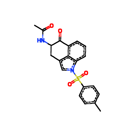 CC(=O)NC1Cc2cn(S(=O)(=O)c3ccc(C)cc3)c3cccc(c23)C1=O